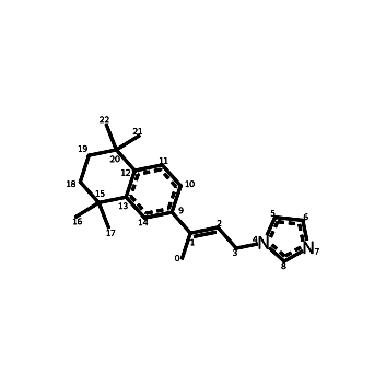 C/C(=C\Cn1ccnc1)c1ccc2c(c1)C(C)(C)CCC2(C)C